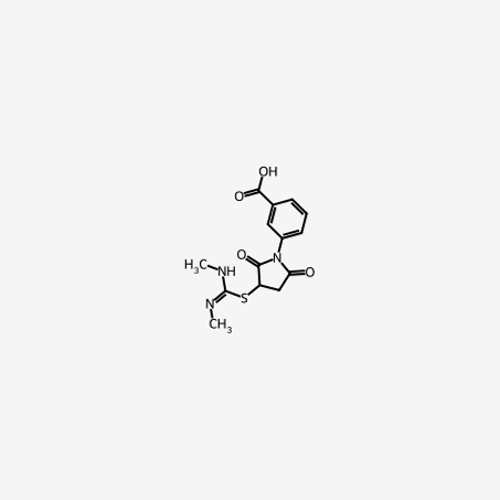 C/N=C(/NC)SC1CC(=O)N(c2cccc(C(=O)O)c2)C1=O